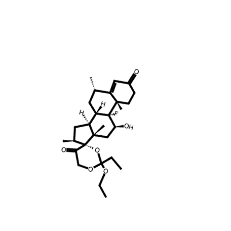 CCOC1(CC)OCC(=O)[C@@]2(O1)[C@@H](C)C[C@H]1[C@@H]3C[C@H](C)C4=CC(=O)CC[C@]4(C)[C@@]3(F)[C@@H](O)C[C@@]12C